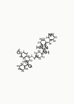 COc1ccc(C(CCN2CCC(Nc3nc4c(Cc5cccnc5)cccc4[nH]3)CC2)CN(C)C(=O)c2ccccc2)cc1